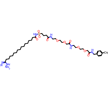 Cc1ccc(CNC(=O)COCCOCCNC(=O)COCCOCCNC(=O)CCCS(=O)(=O)NC(=O)CCCCCCCCCCCCCCC/C(=N/N)NN)cc1